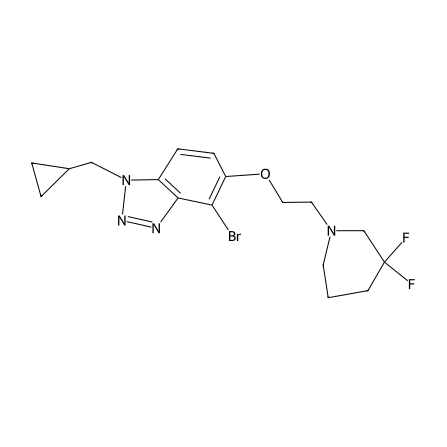 FC1(F)CCCN(CCOc2ccc3c(nnn3CC3CC3)c2Br)C1